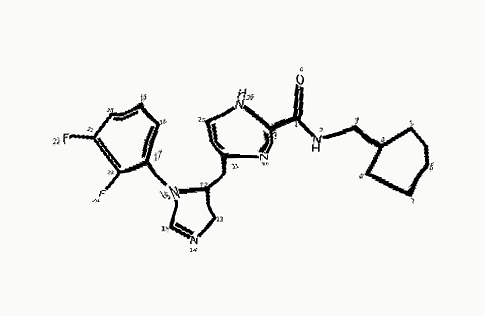 O=C(NCC1CCCC1)c1nc(C2CN=CN2c2cccc(F)c2F)c[nH]1